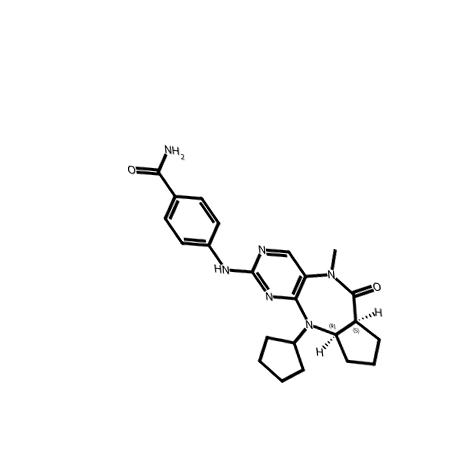 CN1C(=O)[C@H]2CCC[C@H]2N(C2CCCC2)c2nc(Nc3ccc(C(N)=O)cc3)ncc21